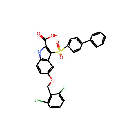 O=C(O)c1[nH]c2ccc(OCc3c(Cl)cccc3Cl)cc2c1S(=O)(=O)c1ccc(-c2ccccc2)cc1